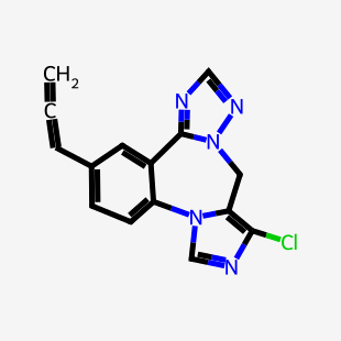 C=C=Cc1ccc2c(c1)-c1ncnn1Cc1c(Cl)ncn1-2